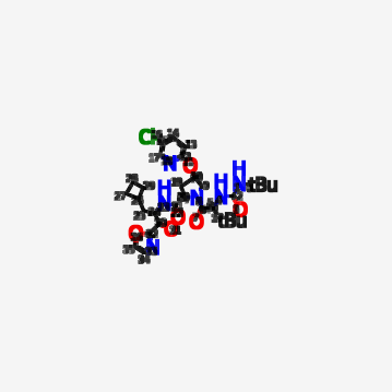 CC(C)(C)NC(=O)N[C@H](C(=O)N1C[C@H](Oc2ccc(Cl)cn2)C[C@H]1C(=O)NC(CC1CCC1)C(=O)c1ncco1)C(C)(C)C